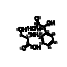 N[C@@H](CO)C(=O)O.O=[PH](O)C(O)c1ccccc1